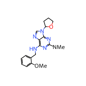 CNc1nc(NCc2ccccc2OC)c2ncn(C3CCCO3)c2n1